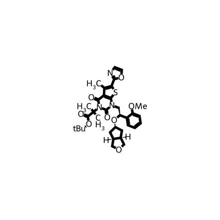 COc1ccccc1[C@H](Cn1c(=O)n(C(C)(C)C(=O)OC(C)(C)C)c(=O)c2c(C)c(-c3ncco3)sc21)O[C@@H]1C[C@H]2COC[C@H]2C1